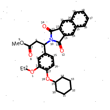 CCOc1cc(C(CC(=O)OC)N2C(=O)c3cc4ccccc4cc3C2=O)ccc1OC1CCCCC1